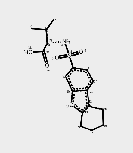 CC(C)[C@H](NS(=O)(=O)c1ccc2c3c(oc2c1)CCCC3)C(=O)O